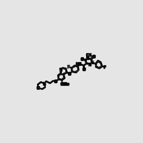 COc1cc2c(Oc3ccc(NC(=O)c4nn(-c5ccc(F)cc5)c(=O)n(C)c4=O)cc3F)ccnc2cc1OCCCN1CCOCC1